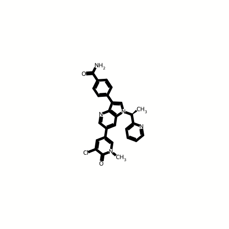 C[C@@H](c1ccccn1)n1cc(-c2ccc(C(N)=O)cc2)c2ncc(-c3cc(Cl)c(=O)n(C)c3)cc21